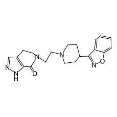 O=C1c2[nH]ncc2CCN1CCN1CCC(c2noc3ccccc23)CC1